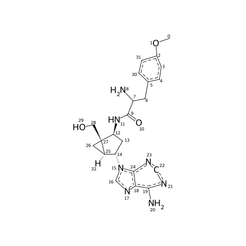 COc1ccc(CC(N)C(=O)N[C@H]2C[C@H](n3cnc4c(N)ncnc43)[C@H]3C[C@]23CO)cc1